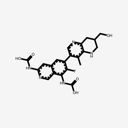 Cc1c(-c2cc3cc(NC(=O)O)ncc3c(NC(=O)O)c2F)cnc2c1NCC(CO)C2